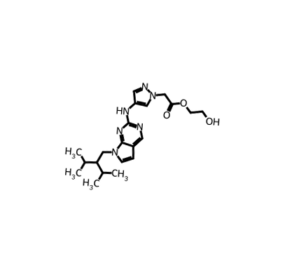 CC(C)C(Cn1ccc2cnc(Nc3cnn(CC(=O)OCCO)c3)nc21)C(C)C